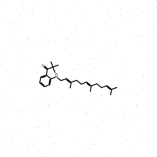 CC(C)=CCC/C(C)=C/CC/C(C)=C/CNc1ccccc1C(=O)C(C)(C)C